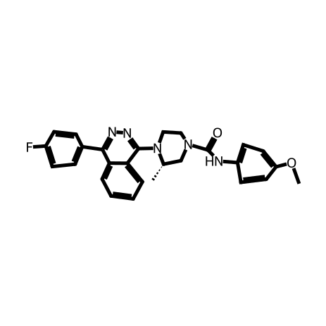 COc1ccc(NC(=O)N2CCN(c3nnc(-c4ccc(F)cc4)c4ccccc34)[C@@H](C)C2)cc1